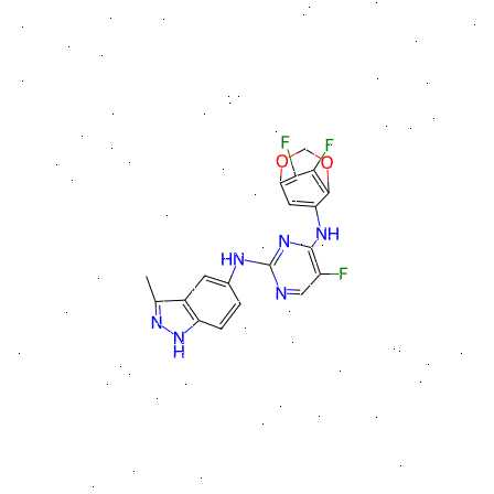 Cc1n[nH]c2ccc(Nc3ncc(F)c(Nc4cc5c(F)c(F)c4OCO5)n3)cc12